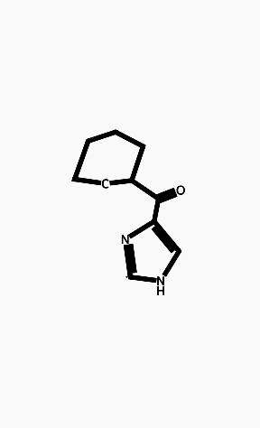 O=C(c1c[nH][c]n1)C1CCCCC1